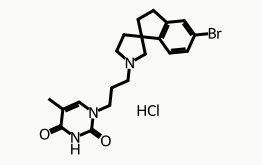 Cc1cn(CCCN2CCC3(CCc4cc(Br)ccc43)C2)c(=O)[nH]c1=O.Cl